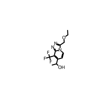 CCOCc1nnc2c(C(F)(F)F)c(C(C)O)ccn12